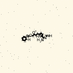 COC(CCc1ccc(/C(N)=N\C=N)[nH]1)COPOc1ccccc1